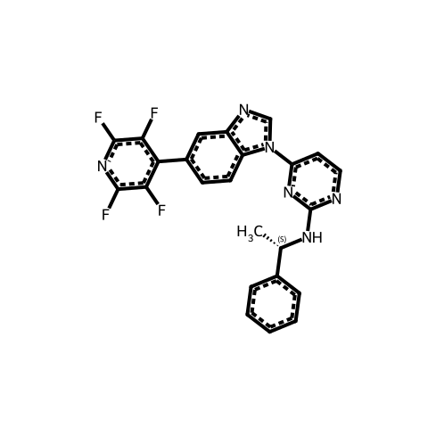 C[C@H](Nc1nccc(-n2cnc3cc(-c4c(F)c(F)nc(F)c4F)ccc32)n1)c1ccccc1